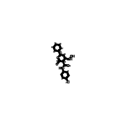 O=C(Nc1ccc(Cl)cc1)c1c(NO)cc(-c2ccccc2)oc1=O